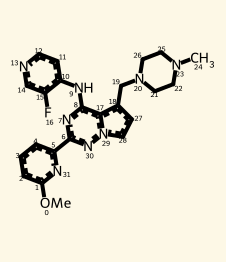 COc1cccc(-c2nc(Nc3ccncc3F)c3c(CN4CCN(C)CC4)ccn3n2)n1